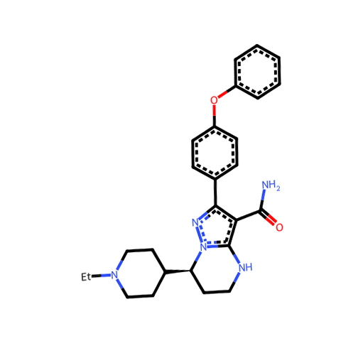 CCN1CCC([C@@H]2CCNc3c(C(N)=O)c(-c4ccc(Oc5ccccc5)cc4)nn32)CC1